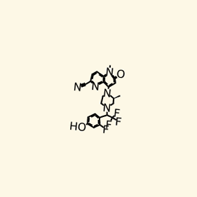 C[C@H]1CN(C(c2ccc(O)cc2F)C(F)(F)F)CCN1c1cc(=O)n(C)c2ccc(C#N)nc12